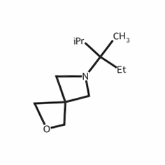 CCC(C)(C(C)C)N1CC2(COC2)C1